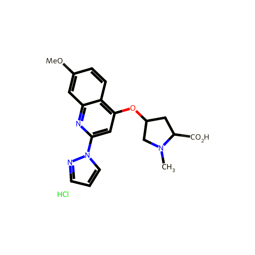 COc1ccc2c(OC3CC(C(=O)O)N(C)C3)cc(-n3cccn3)nc2c1.Cl